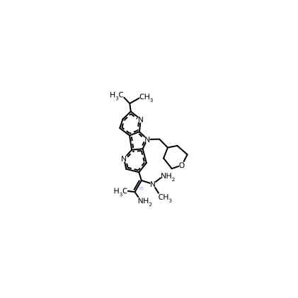 C/C(N)=C(\c1cnc2c3ccc(C(C)C)nc3n(CC3CCOCC3)c2c1)N(C)N